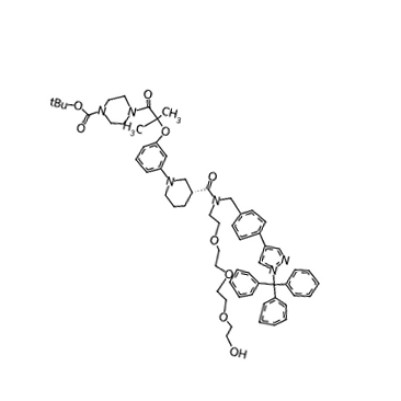 CC(C)(C)OC(=O)N1CCN(C(=O)C(C)(C)Oc2cccc(N3CCC[C@@H](C(=O)N(CCOCCOCCOCCO)Cc4ccc(-c5cnn(C(c6ccccc6)(c6ccccc6)c6ccccc6)c5)cc4)C3)c2)CC1